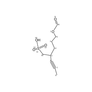 CC#CC(CCCOC=O)CS(=O)(=O)O